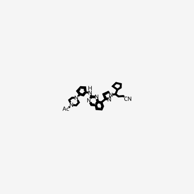 CC(=O)N1CCN(c2cccc(Nc3ncc4cccc(-c5ccn(C(CCC#N)C6CCCC6)n5)c4n3)c2)CC1